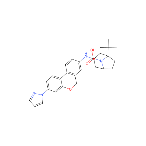 CC(C)(C)C12CCC(CC(Nc3ccc4c(c3)COc3cc(-n5cccn5)ccc3-4)C1)N2C(=O)O